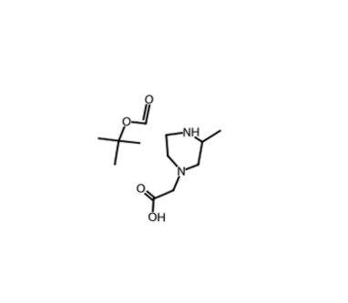 CC(C)(C)OC=O.CC1CN(CC(=O)O)CCN1